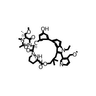 CCn1c(-c2cnccc2COC)c2c3cc(ccc31)-c1cc(O)cc(c1)C[C@H](NC(=O)[C@H]([C@H](C)OC)N(C)C(C)=O)C(=O)N1CCC[C@H](N1)C(=O)OCC(C)(C)C2